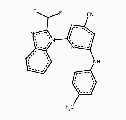 N#Cc1cc(Nc2ccc(C(F)(F)F)cc2)nc(-n2c(C(F)F)nc3ccccc32)c1